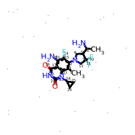 Cc1c(N2CC(C(C)N)C(F)(F)C2)c(F)c(N)c2c(=O)[nH]c(=O)n(C3CC3)c12